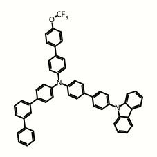 FC(F)(F)Oc1ccc(-c2ccc(N(c3ccc(-c4ccc(-n5c6ccccc6c6ccccc65)cc4)cc3)c3ccc(-c4cccc(-c5ccccc5)c4)cc3)cc2)cc1